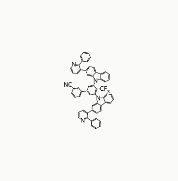 N#Cc1cccc(-c2cc(-n3c4ccccc4c4ccc(-c5cccnc5-c5ccccc5)cc43)c(C(F)(F)F)c(-n3c4ccccc4c4ccc(-c5cccnc5-c5ccccc5)cc43)c2)c1